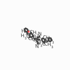 CC1(C)CC(OC(=O)C(CCC#N)(CCC#N)C(=O)OC2CC(C)(C)N(Cc3ccccc3)C(C)(C)C2)CC(C)(C)N1Cc1ccccc1